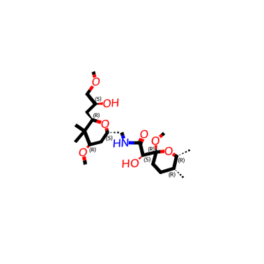 COC[C@@H](O)C[C@H]1O[C@H](CNC(=O)[C@@H](O)[C@@]2(OC)CC[C@@H](C)[C@@H](C)O2)C[C@@H](OC)C1(C)C